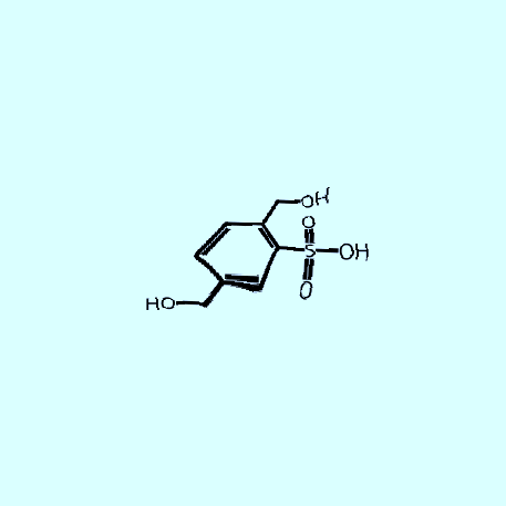 O=S(=O)(O)c1cc(CO)ccc1CO